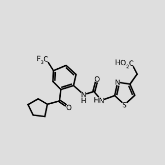 O=C(O)Cc1csc(NC(=O)Nc2ccc(C(F)(F)F)cc2C(=O)C2CCCC2)n1